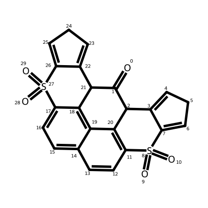 O=C1C2C3=CCC=C3S(=O)(=O)c3ccc4ccc5c(c4c32)C1C1=CCC=C1S5(=O)=O